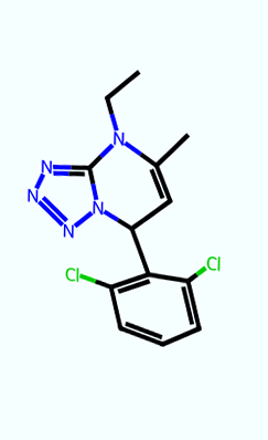 CCN1C(C)=CC(c2c(Cl)cccc2Cl)n2nnnc21